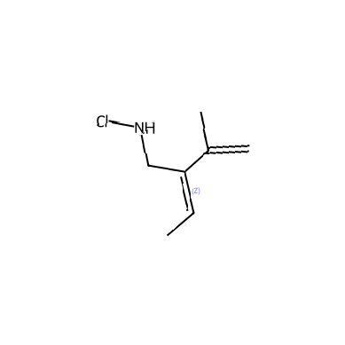 C=C(C)/C(=C/C)CNCl